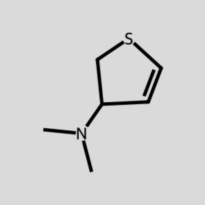 CN(C)C1C=CSC1